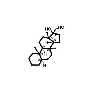 C[C@]12CCCC[C@@H]1CC[C@@H]1[C@@H]2CC[C@@]2(C)[C@H]1CC[C@]2(O)C=O